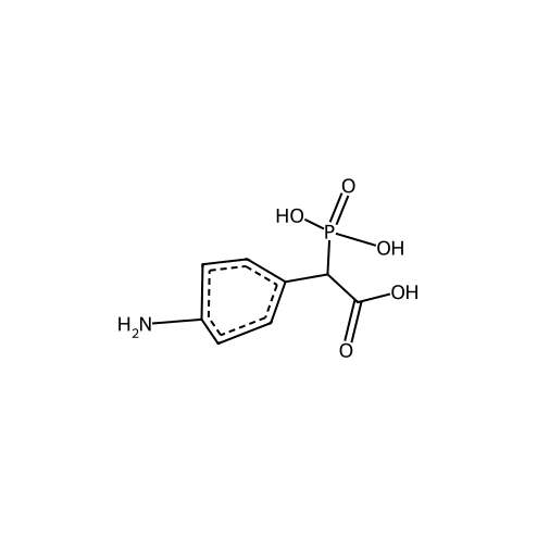 Nc1ccc(C(C(=O)O)P(=O)(O)O)cc1